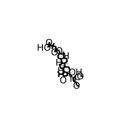 COCCN(CCOC)C[C@@H](O)[C@@]12CC[C@]3(C)[C@H](CC[C@@H]4[C@@]5(C)CCC(OC(=O)CC(C)(C)C(=O)O)C(C)(C)[C@@H]5CC[C@]43C)C1=C(C(C)C)C(=O)C2